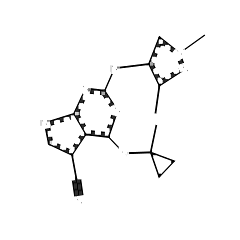 Cc1nn(C)cc1Nc1nc(NC2(C)CC2)c2c(C#N)c[nH]c2n1